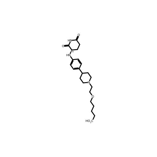 O=C(O)CCCCOCCN1CCC(c2ccc(N[C@@H]3CCC(=O)NC3=O)cc2)CC1